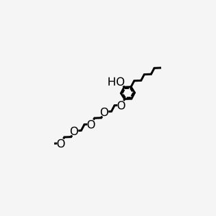 CCCCCCc1ccc(OCCOCCOCCOCCOC)cc1O